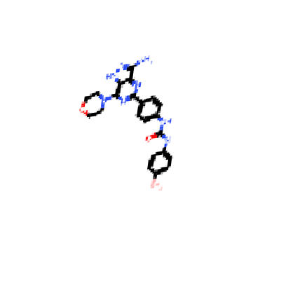 Bc1ccc(NC(=O)Nc2ccc(-c3nc(N4CCOCC4)c4[nH]nc(N)c4n3)cc2)cc1